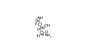 CCc1cc(C(=O)Nc2ccc([C@H]3CNCCO3)c(F)c2)cc(C(N)=O)n1.Cl